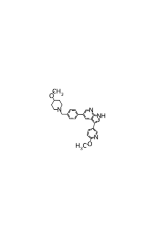 COc1ccc(-c2c[nH]c3ncc(-c4ccc(CN5CCC(OC)CC5)cc4)cc23)cn1